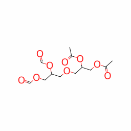 CC(=O)OCC(COCC(COC=O)OC=O)OC(C)=O